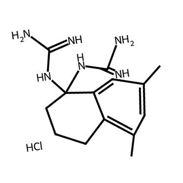 Cc1cc(C)c2c(c1)C(NC(=N)N)(NC(=N)N)CCC2.Cl